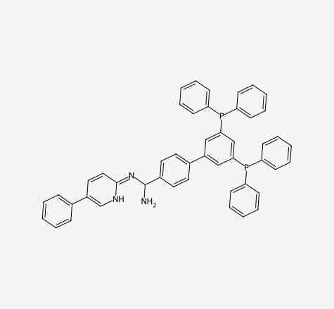 NC(/N=c1/ccc(-c2ccccc2)c[nH]1)c1ccc(-c2cc(P(c3ccccc3)c3ccccc3)cc(P(c3ccccc3)c3ccccc3)c2)cc1